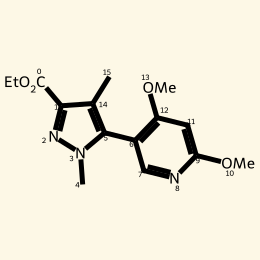 CCOC(=O)c1nn(C)c(-c2cnc(OC)cc2OC)c1C